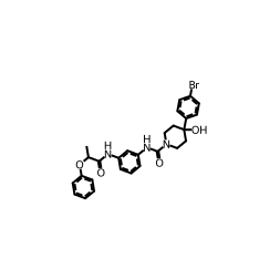 CC(Oc1ccccc1)C(=O)Nc1cccc(NC(=O)N2CCC(O)(c3ccc(Br)cc3)CC2)c1